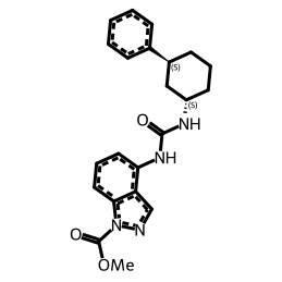 COC(=O)n1ncc2c(NC(=O)N[C@H]3CCC[C@H](c4ccccc4)C3)cccc21